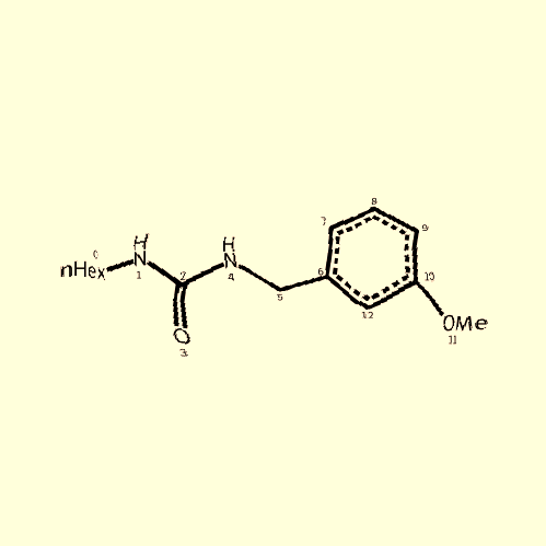 CCCCCCNC(=O)NCc1cccc(OC)c1